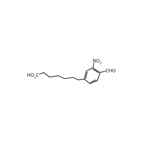 O=Cc1ccc(CCCCCCC(=O)O)cc1[N+](=O)[O-]